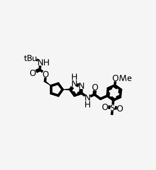 COc1ccc(S(C)(=O)=O)c(CC(=O)Nc2cc([C@H]3CC[C@@H](COC(=O)NC(C)(C)C)C3)[nH]n2)c1